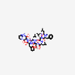 CNC(=O)[C@@H](NC(=O)[C@H](Cc1ccccc1)NC(=O)[C@H](CC(C)C)N(C)C(=O)C(NC(=O)[C@H](CC(C)C)N(C)C(=O)[C@H](CC(C)C)NC(=O)[C@H](Cc1ccccc1)N(C)C(=O)CC(C)C)[C@@H](C)O)C(=O)N1CCCCC1